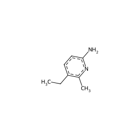 CCc1ccc(N)nc1C